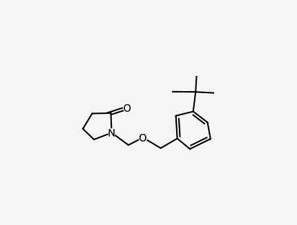 CC(C)(C)c1cccc(COCN2CCCC2=O)c1